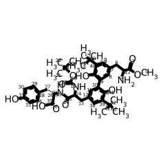 COC(=O)C(N)Cc1cc(-c2cc(CC(NC(=O)OC(C)(C)C)C(=O)N[C@@H](Cc3ccc(O)cc3)C(=O)O)cc(C(C)(C)C)c2O)c(O)c(C(C)(C)C)c1